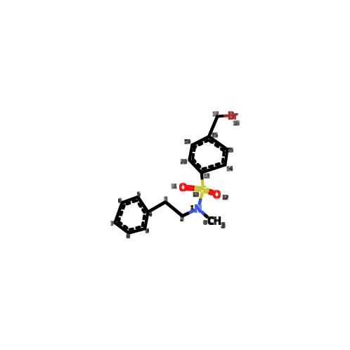 CN(CCc1ccccc1)S(=O)(=O)c1ccc(CBr)cc1